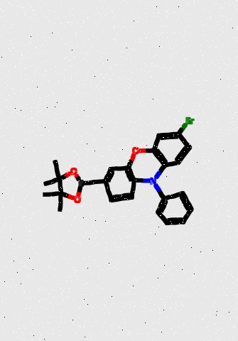 CC1(C)OB(c2ccc3c(c2)Oc2cc(Br)ccc2N3c2ccccc2)OC1(C)C